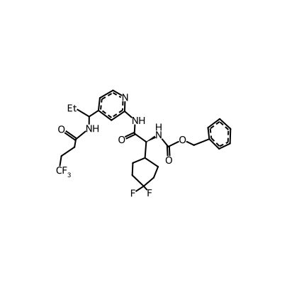 CCC(NC(=O)CCC(F)(F)F)c1ccnc(NC(=O)[C@@H](NC(=O)OCc2ccccc2)C2CCC(F)(F)CC2)c1